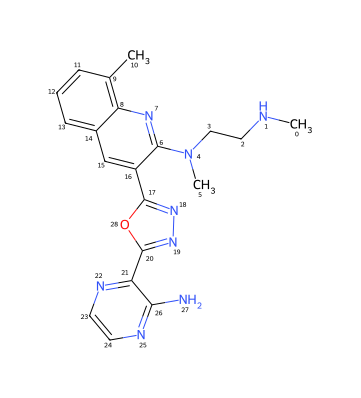 CNCCN(C)c1nc2c(C)cccc2cc1-c1nnc(-c2nccnc2N)o1